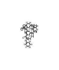 Cc1cnc(Nc2cccc(C(C)NCc3ccccc3)c2)nc1Nc1ccc2oc(=O)[nH]c2c1